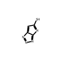 SC1=NC2=NN=NC2=C1